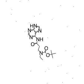 CCN(CCC(=O)Nc1ncnc2[nH]cnc12)C(=O)OC(C)(C)C